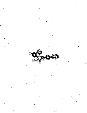 COC(=O)c1sc(-c2ccc(-c3cc4ncccn4n3)cc2)cc1N(C(=O)c1ccc(Cl)cc1F)C1CCOCC1